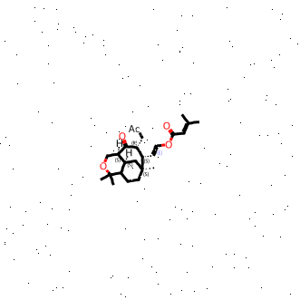 CC(=O)C[C@H]1C(=O)[C@@H]2COC(C)(C)C3CC[C@@](C)(C[C@@H]32)[C@H]1/C=C/OC(=O)C=C(C)C